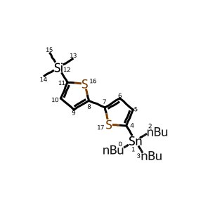 CCC[CH2][Sn]([CH2]CCC)([CH2]CCC)[c]1ccc(-c2ccc([Si](C)(C)C)s2)s1